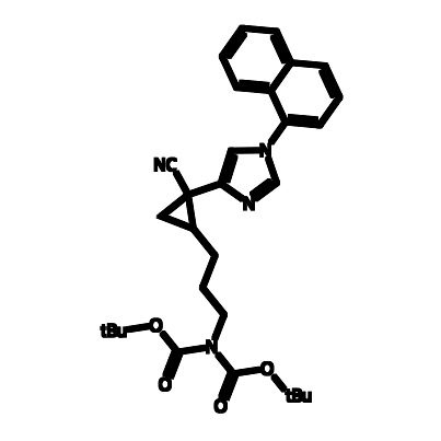 CC(C)(C)OC(=O)N(CCCC1CC1(C#N)c1cn(-c2cccc3ccccc23)cn1)C(=O)OC(C)(C)C